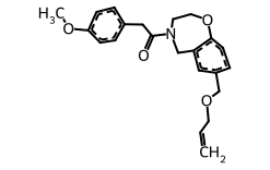 C=CCOCc1ccc2c(c1)CN(C(=O)Cc1ccc(OC)cc1)CCO2